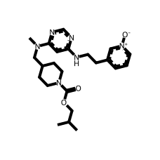 CC(C)COC(=O)N1CCC(CN(C)c2cc(NCCc3ccc[n+]([O-])c3)ncn2)CC1